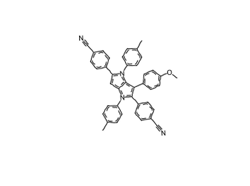 COc1ccc(-c2c(-c3ccc(C#N)cc3)n(-c3ccc(C)cc3)c3cc(-c4ccc(C#N)cc4)n(-c4ccc(C)cc4)c23)cc1